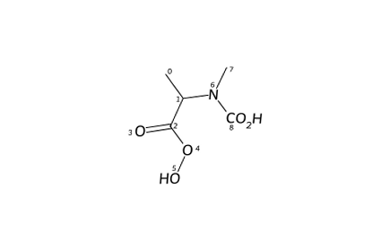 CC(C(=O)OO)N(C)C(=O)O